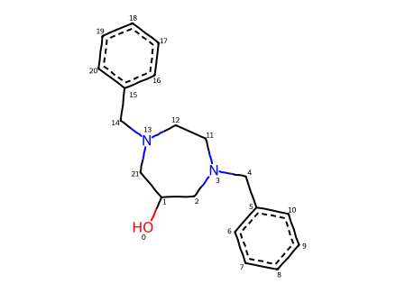 OC1CN(Cc2ccccc2)CCN(Cc2ccccc2)C1